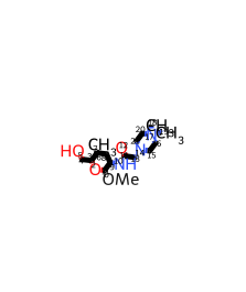 COC1OC(CO)C(C)CC1NC(=O)CN1CC[N+](C)(C)CC1